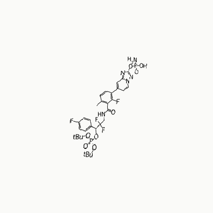 Cc1ccc(-c2ccn3nc(OP(N)(=O)O)nc3c2)c(F)c1C(=O)NCC(F)(F)C(OP(=O)(OC(C)(C)C)OC(C)(C)C)c1ccc(F)cc1